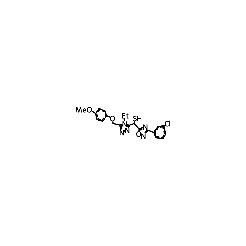 CCn1c(COc2ccc(OC)cc2)nnc1C(S)c1nc(-c2cccc(Cl)c2)no1